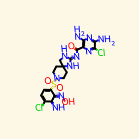 N=C1C(Cl)=CC=C(S(=O)(=O)N2CCC3(CC2)CN/C(=N\C(=O)c2nc(Cl)c(N)nc2N)N3)/C1=N/O